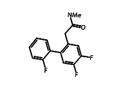 CNC(=O)Cc1cc(F)c(F)cc1-c1ccccc1F